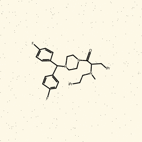 CC(C)CCN(C)C(CC(C)C)C(=O)N1CCN(C(c2ccc(F)cc2)c2ccc(F)cc2)CC1